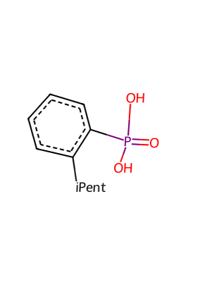 CCCC(C)c1ccccc1P(=O)(O)O